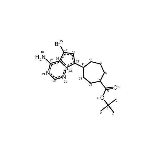 CC(C)(C)OC(=O)C1CCCC(c2cc(Br)c3c(N)ncnn23)CC1